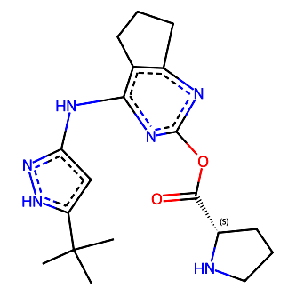 CC(C)(C)c1cc(Nc2nc(OC(=O)[C@@H]3CCCN3)nc3c2CCC3)n[nH]1